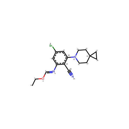 CCOC=Nc1cc(Br)cc(N2CCC3(CC2)CC3)c1C#N